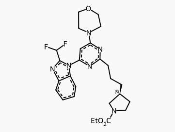 CCOC(=O)N1CC[C@H](CCCc2nc(N3CCOCC3)cc(-n3c(C(F)F)nc4ccccc43)n2)C1